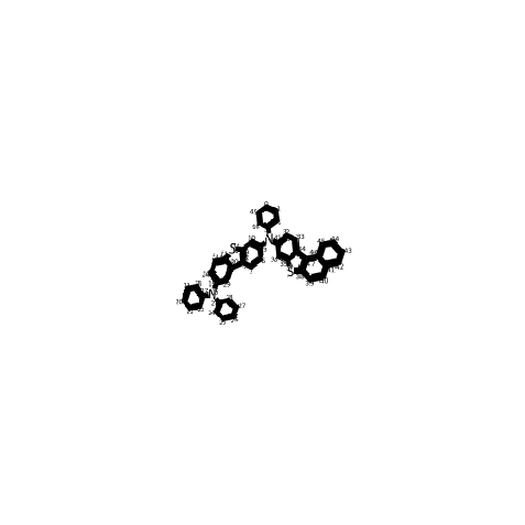 c1ccc(N(c2ccc3c(c2)sc2ccc(N(c4ccccc4)c4ccccc4)cc23)c2ccc3c(c2)sc2ccc4ccccc4c23)cc1